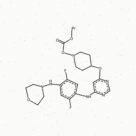 CC(C)OC(=O)ON1CCC(Oc2cc(Nc3cc(F)c(NN4CCOCC4)cc3F)ncn2)CC1